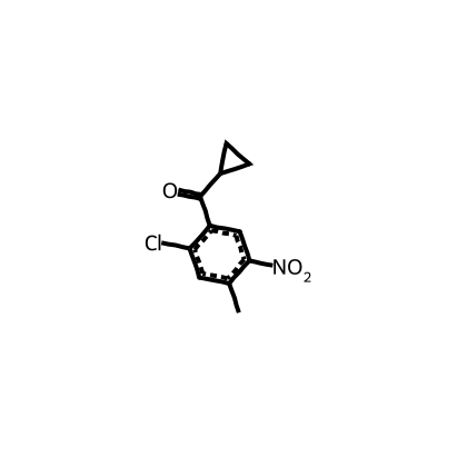 Cc1cc(Cl)c(C(=O)C2CC2)cc1[N+](=O)[O-]